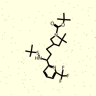 CC(C)(C)OC(=O)N1CC(CCC(NSC(C)(C)C)c2cccc(C(F)(F)F)n2)CC1(C)C